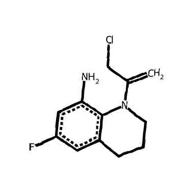 C=C(CCl)N1CCCc2cc(F)cc(N)c21